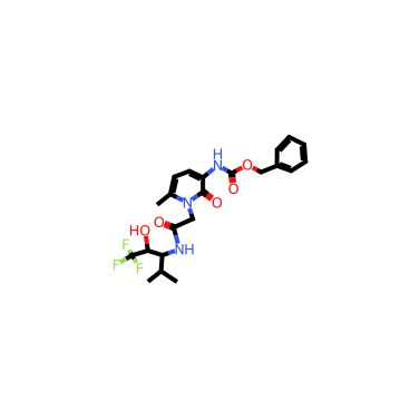 Cc1ccc(NC(=O)OCc2ccccc2)c(=O)n1CC(=O)NC(C(C)C)C(O)C(F)(F)F